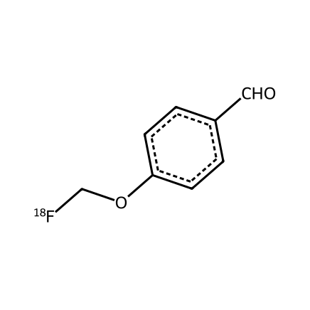 O=Cc1ccc(OC[18F])cc1